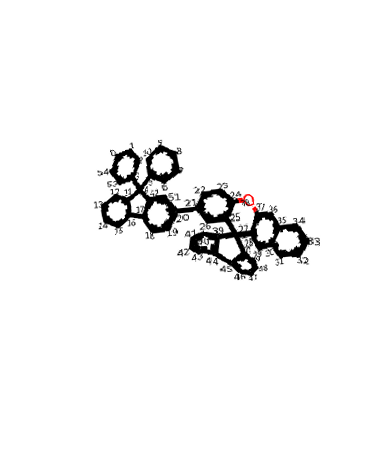 c1ccc(C2(c3ccccc3)c3ccccc3-c3ccc(-c4ccc5c(c4)C4(c6cc7ccccc7cc6O5)c5ccccc5-c5ccccc54)cc32)cc1